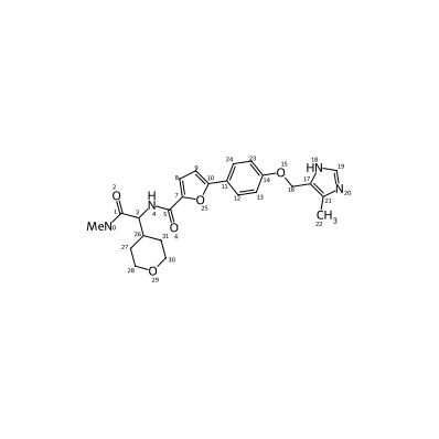 CNC(=O)C(NC(=O)c1ccc(-c2ccc(OCc3[nH]cnc3C)cc2)o1)C1CCOCC1